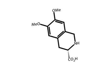 COc1cc2c(cc1OC)C[C@@H](C(=O)O)NC2